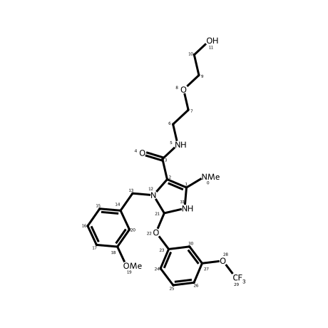 CNC1=C(C(=O)NCCOCCO)N(Cc2cccc(OC)c2)C(Oc2cccc(OC(F)(F)F)c2)N1